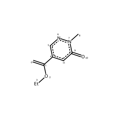 C=C(OCC)c1cnn(C)c(=O)c1